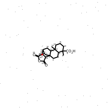 CC(C)C1CC23CCC4C(C)(C(=O)O)CCCC4(C)C2CC1C1C(=O)OC(=O)C13